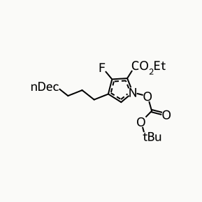 CCCCCCCCCCCCCc1cn(OC(=O)OC(C)(C)C)c(C(=O)OCC)c1F